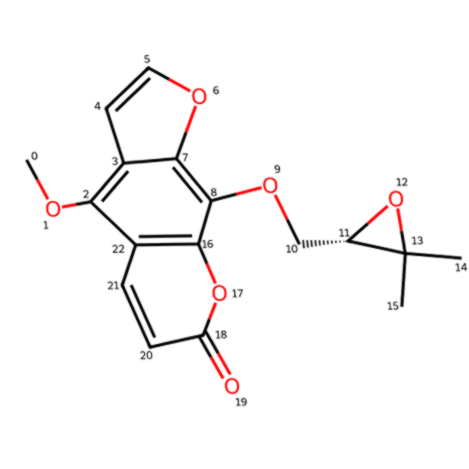 COc1c2ccoc2c(OC[C@@H]2OC2(C)C)c2oc(=O)ccc12